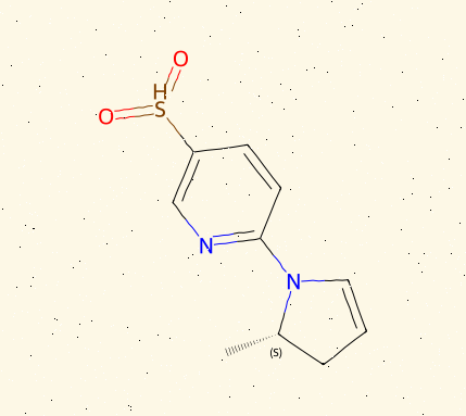 C[C@H]1CC=CN1c1ccc([SH](=O)=O)cn1